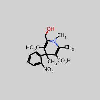 CC1=C(C(=O)O)C(C)(c2ccccc2[N+](=O)[O-])C(C(=O)O)=C(CO)N1C